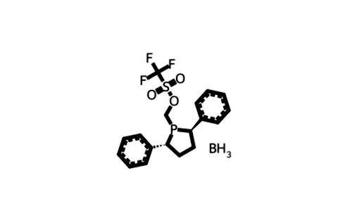 B.O=S(=O)(OCP1[C@@H](c2ccccc2)CC[C@@H]1c1ccccc1)C(F)(F)F